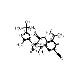 Cc1nc(C(C)(C)O)sc1/S(N)=N\C(=O)Cc1c(C(C)C)cc(C#N)cc1C(C)C